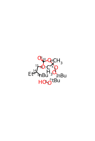 CC(C)(C)OO.CCCCOOC(C)(C)OC(=O)OCC(CC)CCCC